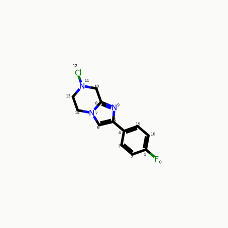 Fc1ccc(-c2cn3c(n2)CN(Cl)CC3)cc1